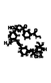 CCC(=O)c1cccc(S(C)(=O)=NC(C)(O)c2cnc(N)c(C#Cc3cccc(NC(C)(O)C4=CC(C)(C)NN4C)c3)c2)c1